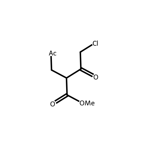 COC(=O)C(CC(C)=O)C(=O)CCl